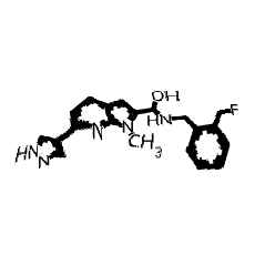 Cn1c(C(O)NCc2ccccc2CF)cc2ccc(-c3cn[nH]c3)nc21